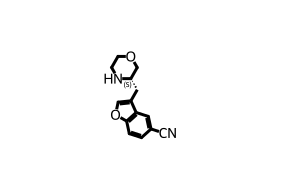 N#Cc1ccc2occ(C[C@H]3COCCN3)c2c1